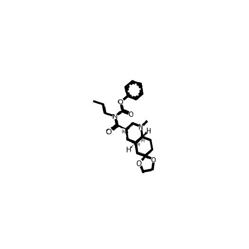 CCCN(C(=O)Oc1ccccc1)C(=O)[C@@H]1C[C@@H]2CC3(CC[C@H]2N(C)C1)OCCO3